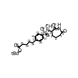 CN(C1CCCC(=O)NC1=O)S(=O)(=O)c1ccc(CCCCC(=O)OC(C)(C)C)cc1